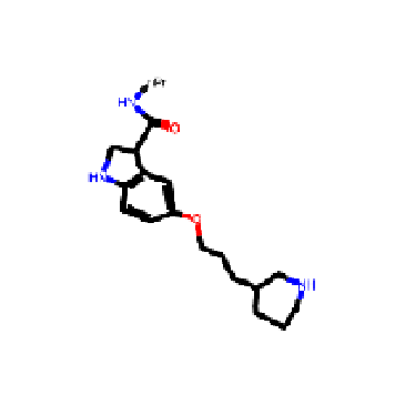 CCCNC(=O)C1CNc2ccc(OCCCC3CCCNC3)cc21